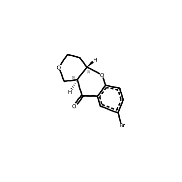 O=C1c2cc(Br)ccc2O[C@H]2CCOC[C@H]12